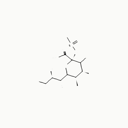 C[C@H]1C([C@H](O)[C@H](O)CO)O[C@](OS(C)(=O)=O)(C(=O)O)C(F)[C@H]1O